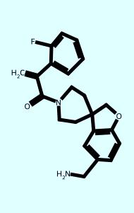 C=C(C(=O)N1CCC2(CC1)COc1ccc(CN)cc12)c1ccccc1F